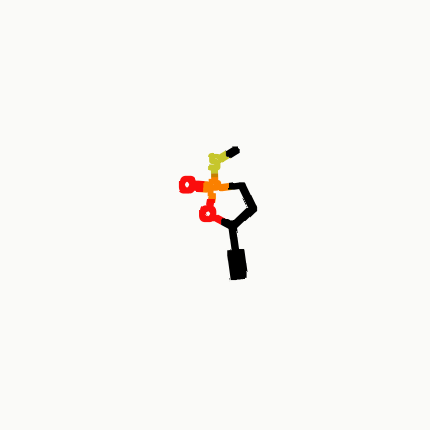 C#CC1CCP(=O)(SC)O1